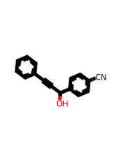 N#Cc1ccc(C(O)C#Cc2ccccc2)cc1